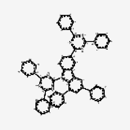 c1ccc(-c2cc(-c3ccccc3)c3c(c2)c2cc(-c4nc(-c5ccccc5)nc(-c5ccccc5)n4)ccc2n3-c2nc(-c3ccccc3)nc(-c3ccccc3)n2)cc1